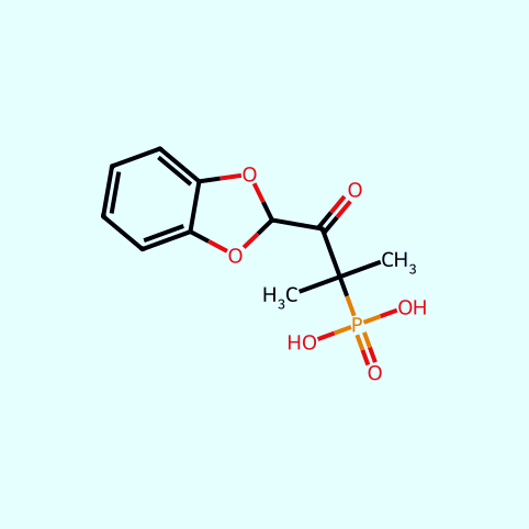 CC(C)(C(=O)C1Oc2ccccc2O1)P(=O)(O)O